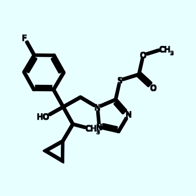 COC(=O)Sc1ncnn1CC(O)(c1ccc(F)cc1)C(C)C1CC1